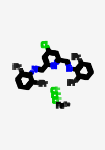 CC(C)c1cccc(C(C)C)c1N=Cc1cc(Cl)cc(C=Nc2c(C(C)C)cccc2C(C)C)n1.[Cl-].[Cl-].[Cl-].[Fe+3]